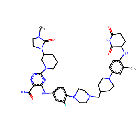 Cc1cc(N2CCC(CN3CCN(c4ccc(Nc5nc(N6CCCC(N7CCN(C)C7=O)C6)nnc5C(N)=O)cc4F)CC3)CC2)ccc1NC1CCC(=O)NC1=O